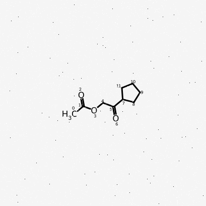 CC(=O)OCC(=O)C1CCCC1